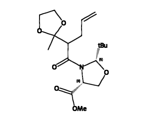 C=CCC(C(=O)N1[C@@H](C(=O)OC)CO[C@H]1C(C)(C)C)C1(C)OCCO1